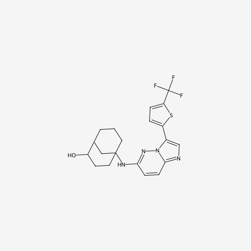 OC1CCC2(Nc3ccc4ncc(-c5ccc(C(F)(F)F)s5)n4n3)CCCC1C2